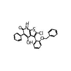 O=c1[nH]c2sc(Cl)c(-c3ccccc3OCc3ccccc3)c2c(O)c1-c1ccccc1